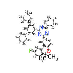 CC1(C)Oc2ccc(-c3nc(-c4ccccc4)nc(-c4cc(-c5ccccc5)cc(-c5ccccc5)c4)n3)cc2-c2cc(F)ccc21